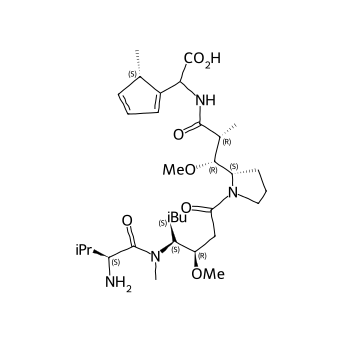 CC[C@H](C)[C@@H]([C@@H](CC(=O)N1CCC[C@H]1[C@H](OC)[C@@H](C)C(=O)NC(C(=O)O)C1=CC=C[C@@H]1C)OC)N(C)C(=O)[C@@H](N)C(C)C